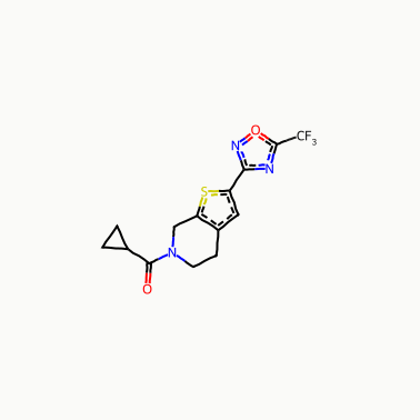 O=C(C1CC1)N1CCc2cc(-c3noc(C(F)(F)F)n3)sc2C1